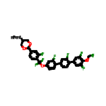 CCCCCC1COC(c2ccc(C(F)(F)Oc3ccc(-c4ccc(-c5cc(F)c(OCF)c(F)c5)c(F)c4)c(F)c3)c(F)c2)OC1